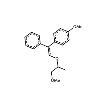 COCC(C)O/C=C(/c1ccccc1)c1ccc(OC)cc1